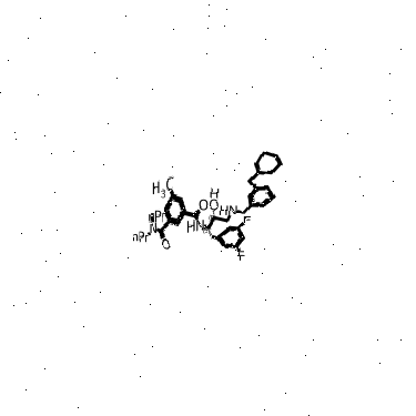 CCCN(CCC)C(=O)c1cc(C)cc(C(=O)N[C@@H](Cc2cc(F)cc(F)c2)[C@H](O)CNCc2cccc(CC3CCCCC3)c2)c1